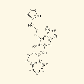 O=C(NCCNC1=NCCN1)C(Cc1c[nH]cn1)NC1CCCc2cccnc21